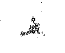 CCOC(=O)[C@H](CCc1ccccc1)N[C@@H](CCCCN)C(=O)N1CCC[C@H]1C(=O)OCCCO[N+](=O)[O-]